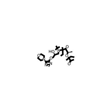 CCC(C)(O[C@H](C)C(=O)C(C)(CC)N(C[C@H](O)COc1nsnc1N1CCOCC1)C(C)(C)C)C(C)=O